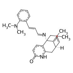 C/C=C1\[C@H]2C=C(C)C[C@]1(/N=C/C=C/c1ccccc1N(C)C)c1ccc(=O)[nH]c1C2